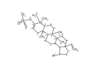 C=CC12CCC(C(C)C)C1C1CCC3C4(C)CC=C(OS(=O)(=O)C(F)(F)F)C(C)(C)C4CCC3(C)C1(C)CC2